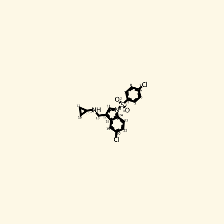 O=S(=O)(c1ccc(Cl)cc1)n1cc(CNC2CC2)c2cc(Cl)ccc21